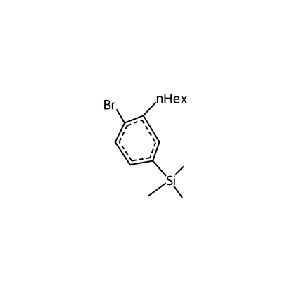 CCCCCCc1cc([Si](C)(C)C)ccc1Br